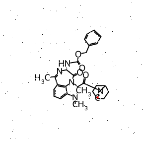 CC1=N[C@H](NC(=O)OCc2ccccc2)C(=O)N(CC(=O)N2CC3CCC(CC3)C2)c2c1cccc2N(C)C